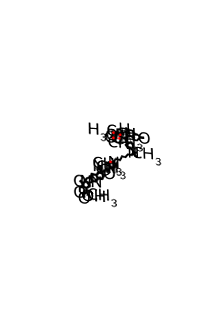 CC[C@@]1(O)C(=O)OCc2c1cc1n(c2=O)Cc2cc3c(CN(C)C)c(OC(=O)N4CCN(CCCCCCN(C)c5ccc([C@H]6C[C@@]7(C)[C@@H](CC[C@]7(OC(C)=O)C(C)=O)[C@@H]7CCC8=CC(=O)CCC8=C76)cc5)CC4)ccc3nc2-1